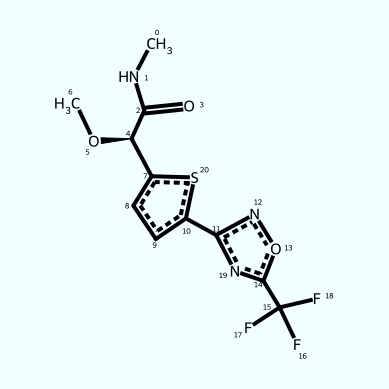 CNC(=O)[C@H](OC)c1ccc(-c2noc(C(F)(F)F)n2)s1